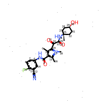 Cc1c(C(=O)Nc2ccc(F)c(C#N)c2)c(C)n(C)c1C(=O)C(=O)N[C@]1(C)CC[C@@H](O)CC1